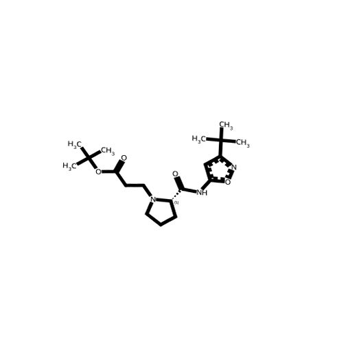 CC(C)(C)OC(=O)CCN1CCC[C@H]1C(=O)Nc1cc(C(C)(C)C)no1